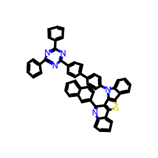 c1ccc(-c2nc(-c3ccccc3)nc(-c3ccc(-c4ccc(-n5c6ccccc6c6sc7c8ccccc8nc(-c8ccc9ccccc9c8)c7c65)cc4)cc3)n2)cc1